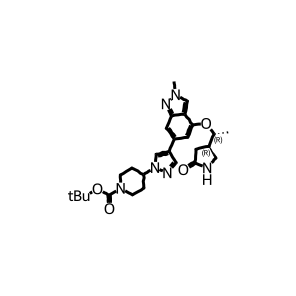 C[C@@H](Oc1cc(-c2cnn(C3CCN(C(=O)OC(C)(C)C)CC3)c2)cc2nn(C)cc12)[C@H]1CNC(=O)C1